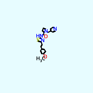 COc1ccc(/C=C/c2csc(NC(=O)c3cccn3Cc3ccncc3)n2)cc1